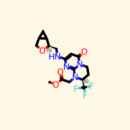 COC(=O)CN1c2nc(NC[C@H]3OCC4CC43)cc(=O)n2CC[C@H]1C(F)(F)F